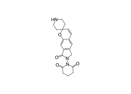 O=C1c2cc3c(cc2CN1N1C(=O)CCCC1=O)C=CC1(CCNCC1)O3